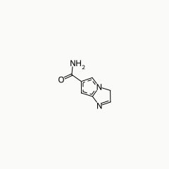 NC(=O)c1cc2n(c1)CC=N2